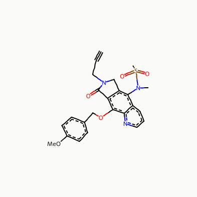 C#CCN1Cc2c(c(OCc3ccc(OC)cc3)c3ncccc3c2N(C)S(C)(=O)=O)C1=O